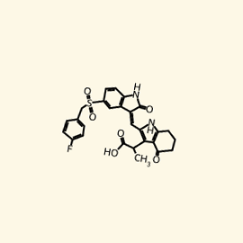 CC(C(=O)O)c1c(/C=C2\C(=O)Nc3ccc(S(=O)(=O)Cc4ccc(F)cc4)cc32)[nH]c2c1C(=O)CCC2